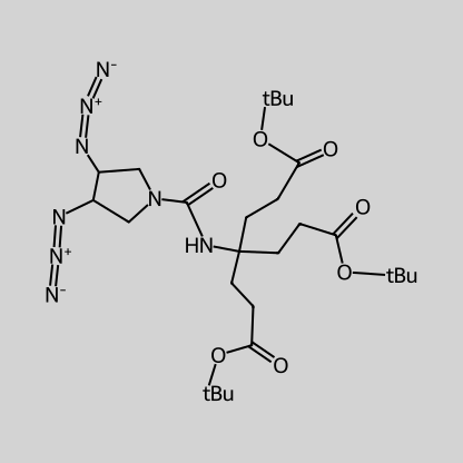 CC(C)(C)OC(=O)CCC(CCC(=O)OC(C)(C)C)(CCC(=O)OC(C)(C)C)NC(=O)N1CC(N=[N+]=[N-])C(N=[N+]=[N-])C1